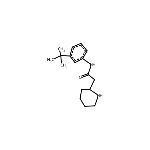 CC(C)(C)c1cccc(NC(=O)CC2CCCCN2)c1